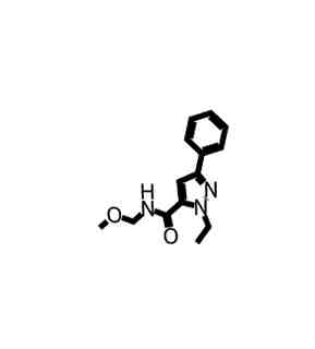 CCn1nc(-c2ccccc2)cc1C(=O)NCOC